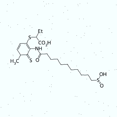 CCC(SC1=C(NC(=O)CCCCCCCCCCS(=O)O)C(=S)C(C)C=C1)C(=O)O